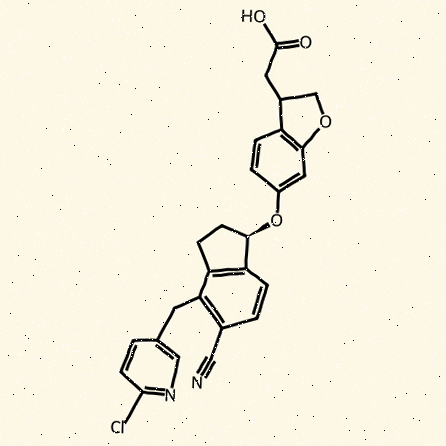 N#Cc1ccc2c(c1Cc1ccc(Cl)nc1)CC[C@H]2Oc1ccc2c(c1)OCC2CC(=O)O